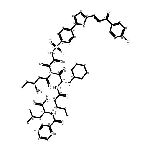 CC[C@H](N)CC(=O)N(C(=O)C(=O)NS(=O)(=O)c1ccc(-c2ccc(C=CC(=O)c3ccc(Cl)cc3)o2)cc1)C(=O)[C@H](CC1CCCCC1)NC(=O)[C@@H](NC(=O)[C@H](CC(C)C)NC(=O)c1cnccn1)[C@@H](C)CC